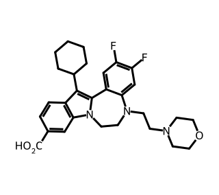 O=C(O)c1ccc2c(C3CCCCC3)c3n(c2c1)CCN(CCN1CCOCC1)c1cc(F)c(F)cc1-3